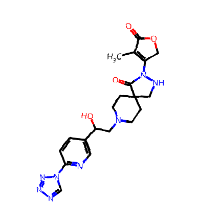 CC1=C(N2NCC3(CCN(CC(O)c4ccc(-n5cnnn5)nc4)CC3)C2=O)COC1=O